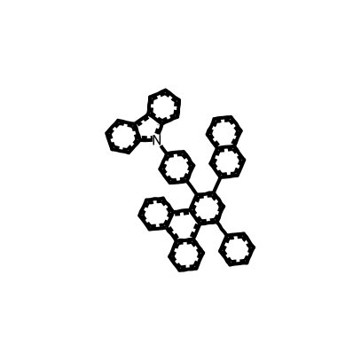 c1ccc(-c2cc(-c3ccc4ccccc4c3)c(-c3ccc(-n4c5ccccc5c5ccccc54)cc3)c3c4ccccc4c4ccccc4c23)cc1